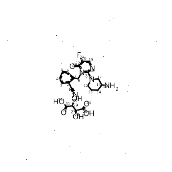 N#Cc1ccccc1Cn1c(N2CCCC(N)C2)ncc(F)c1=O.O=C(O)C(O)C(O)C(=O)O